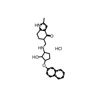 Cc1cc2c([nH]1)CCC(CNC1CCC(Oc3ccc4ccccc4c3)C1O)C2=O.Cl